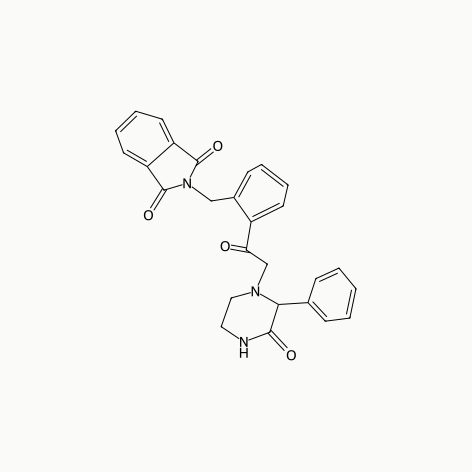 O=C(CN1CCNC(=O)C1c1ccccc1)c1ccccc1CN1C(=O)c2ccccc2C1=O